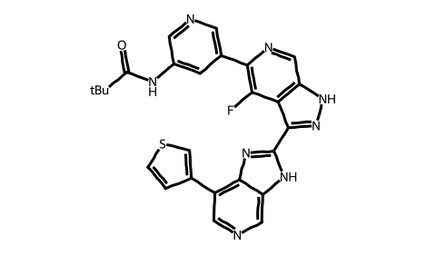 CC(C)(C)C(=O)Nc1cncc(-c2ncc3[nH]nc(-c4nc5c(-c6ccsc6)cncc5[nH]4)c3c2F)c1